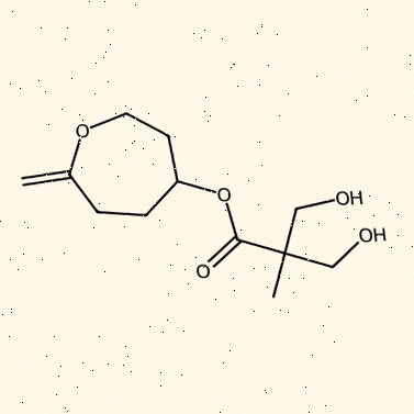 C=C1CCC(OC(=O)C(C)(CO)CO)CCO1